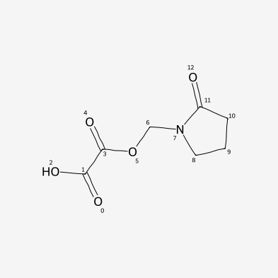 O=C(O)C(=O)OCN1CCCC1=O